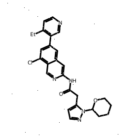 CCc1ccncc1-c1cc(Cl)c2cnc(NC(=O)Cc3ccnn3C3CCCCO3)cc2c1